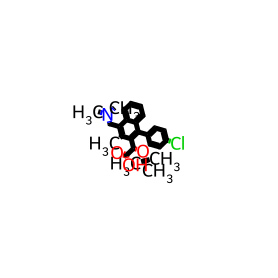 Cc1c(C(OC(C)(C)C)C(=O)O)c(-c2ccc(Cl)cc2)c2ccccc2c1CN(C)C